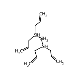 C=CC[SiH](CC=C)[SiH2][SiH](CC=C)CC=C